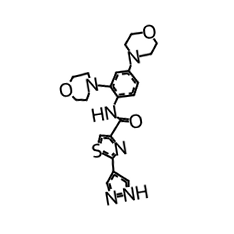 O=C(Nc1ccc(N2CCOCC2)cc1N1CCOCC1)c1csc(-c2cn[nH]c2)n1